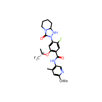 COc1cc(C)c(NC(=O)c2cc(F)c(N3NC4CCCCN4C3=O)cc2O[C@@H](C)C(F)(F)F)cn1